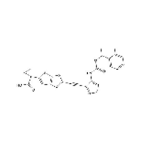 Cc1ccccc1C(C)OC(=O)Nc1csnc1C#Cc1cc2cc(C3(C(=O)O)CC3)sc2s1